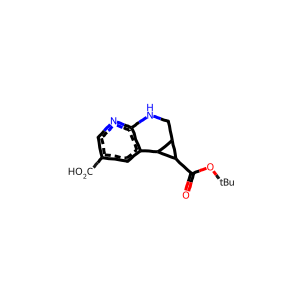 CC(C)(C)OC(=O)C1C2CNc3ncc(C(=O)O)cc3C21